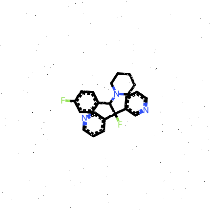 Fc1ccc(C(N2CCCCC2)C(F)(c2cccnc2)c2cccnc2)cc1